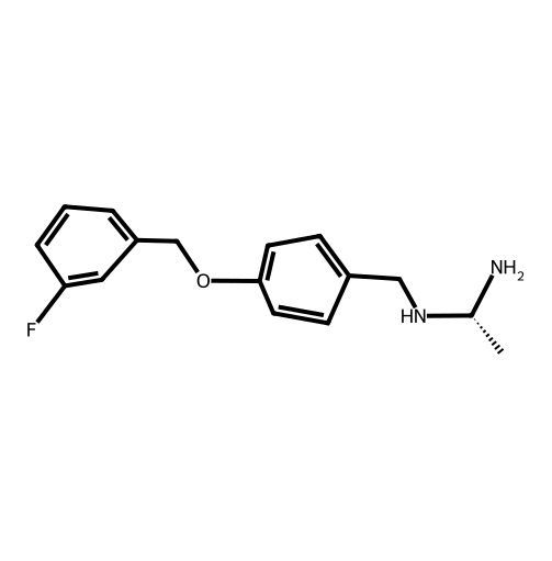 C[C@@H](N)NCc1ccc(OCc2cccc(F)c2)cc1